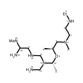 CCNCCN(C)C[C@H](C)O[C@H](C)N(CN)CNCC(N)NC